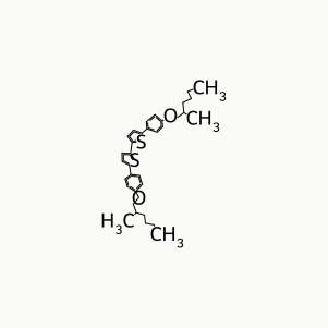 CCCCC(C)COc1ccc(-c2ccc(-c3ccc(-c4ccc(OCC(C)CCCC)cc4)s3)s2)cc1